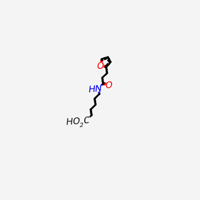 O=C(O)CCCCCNC(=O)CCc1ccco1